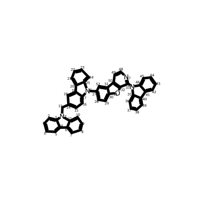 c1ccc2c(c1)c1ccccc1n2Cc1ccc2c(c1)c1ccccc1n2-c1ccc2oc3c(-n4c5ccccc5c5ccccc54)nccc3c2c1